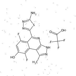 Cc1n[nH]c2nc(-c3nnc(N)s3)c3c(F)cc(O)c(F)c3c12.O=C(O)C(F)(F)F